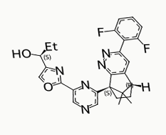 CC[C@H](O)c1coc(-c2cncc([C@@]34CC[C@@H](c5cc(-c6c(F)cccc6F)nnc53)C4(C)C)n2)n1